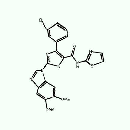 COc1cc2ncn(-c3nc(-c4cccc(Cl)c4)c(C(=O)Nc4nccs4)s3)c2cc1OC